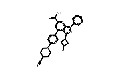 CC1CC(c2nn(-c3ccccc3)c3nc(C(=O)O)cc(-c4ccc(N5CCC(C#N)CC5)nc4)c23)C1